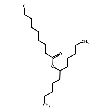 CCCCCC(CCCCC)OC(=O)CCCCCCCCl